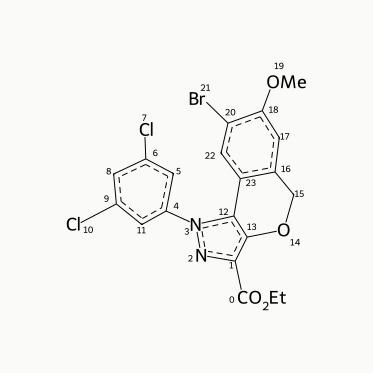 CCOC(=O)c1nn(-c2cc(Cl)cc(Cl)c2)c2c1OCc1cc(OC)c(Br)cc1-2